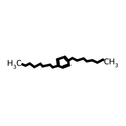 CCCCCCCCc1[c]cc(CCCCCCCC)cc1